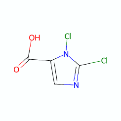 O=C(O)c1cnc(Cl)n1Cl